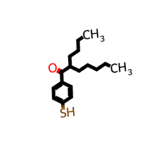 CCCCCC(CCCC)C(=O)c1ccc(S)cc1